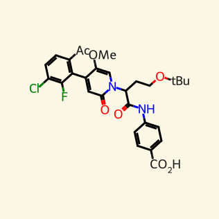 COc1cn(C(CCOC(C)(C)C)C(=O)Nc2ccc(C(=O)O)cc2)c(=O)cc1-c1c(C(C)=O)ccc(Cl)c1F